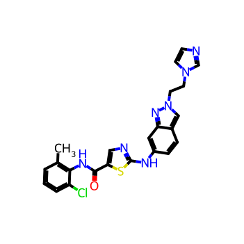 CC1=C(NC(=O)c2cnc(Nc3ccc4cn(CCn5ccnc5)nc4c3)s2)C(Cl)=C=C=C1